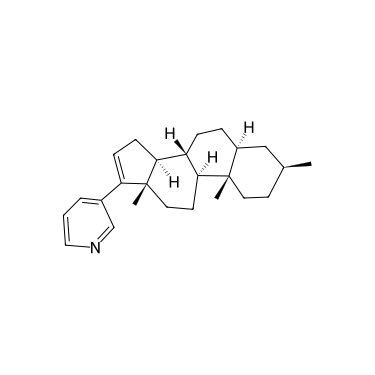 C[C@H]1CC[C@@]2(C)[C@@H](CC[C@@H]3[C@@H]2CC[C@]2(C)C(c4cccnc4)=CC[C@@H]32)C1